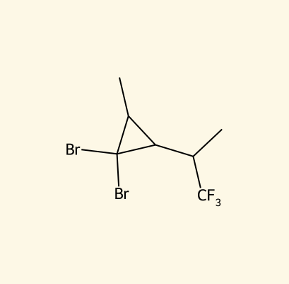 CC(C1C(C)C1(Br)Br)C(F)(F)F